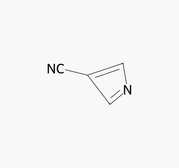 N#CC1=CN=C1